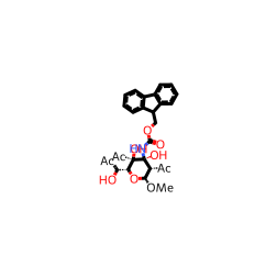 CO[C@H]1O[C@H](C(O)C(C)=O)[C@](O)(C(C)=O)[C@@](O)(NC(=O)OCC2c3ccccc3-c3ccccc32)[C@@H]1C(C)=O